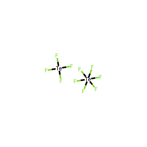 F[Te](F)(F)(F)(F)F.F[Te](F)(F)F